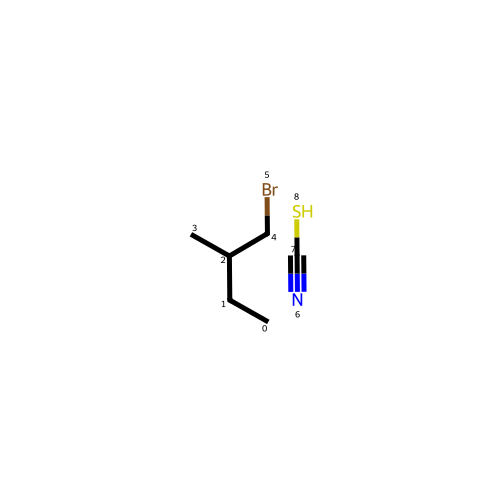 CCC(C)CBr.N#CS